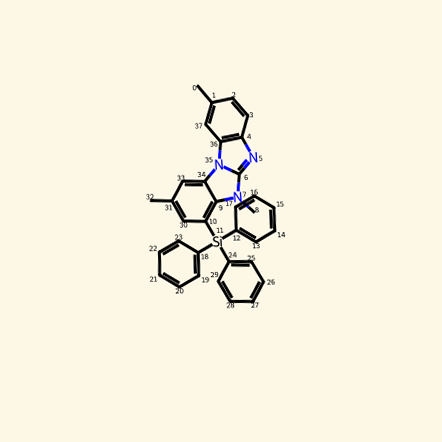 Cc1ccc2nc3n(C)c4c([Si](c5ccccc5)(c5ccccc5)c5ccccc5)cc(C)cc4n3c2c1